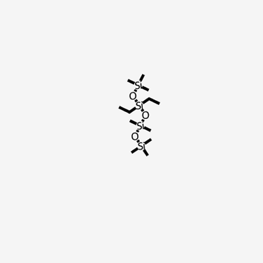 CC[Si](CC)(O[Si](C)(C)C)O[Si](C)(C)O[Si](C)(C)C